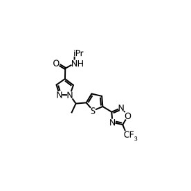 CC(C)NC(=O)c1cnn(C(C)c2ccc(-c3noc(C(F)(F)F)n3)s2)c1